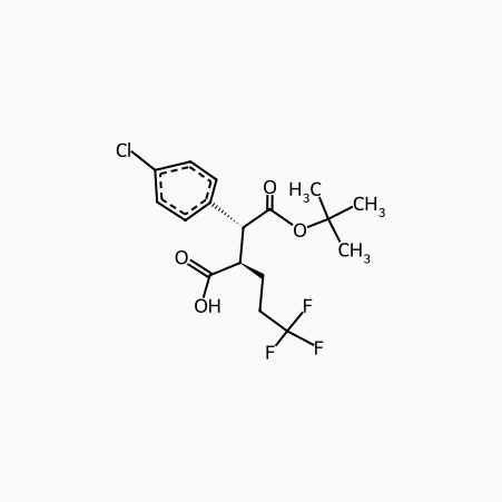 CC(C)(C)OC(=O)[C@@H](c1ccc(Cl)cc1)[C@@H](CCC(F)(F)F)C(=O)O